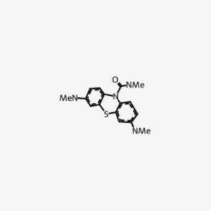 CNC(=O)N1c2ccc(NC)cc2Sc2cc(NC)ccc21